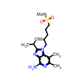 CNS(=O)(=O)CCCCCn1c(C(C)OC)nc2c(N)nc(C)c(C)c21